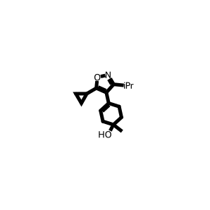 CC(C)c1noc(C2CC2)c1C1=CCC(C)(O)CC1